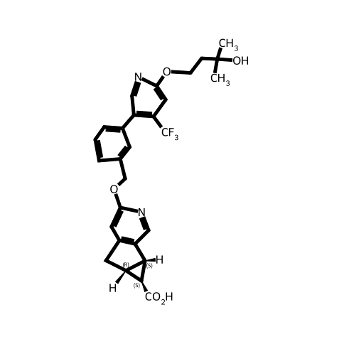 CC(C)(O)CCOc1cc(C(F)(F)F)c(-c2cccc(COc3cc4c(cn3)[C@H]3[C@@H](C4)[C@@H]3C(=O)O)c2)cn1